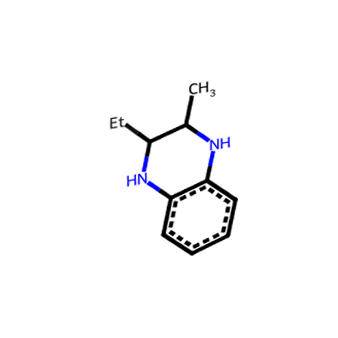 CCC1Nc2ccccc2NC1C